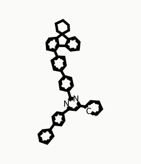 c1ccc(-c2ccc(-c3cc(-c4ccccc4)nc(-c4ccc(-c5ccc(-c6cccc7c6-c6ccccc6C76CCCCC6)cc5)cc4)n3)cc2)cc1